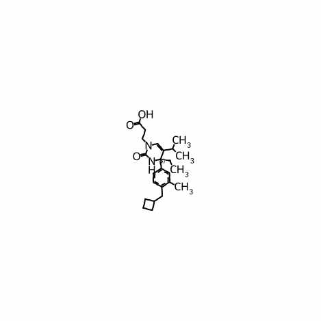 CC[C@@]1(c2ccc(CC3CCC3)c(C)c2)NC(=O)N(CCC(=O)O)C=C1C(C)C